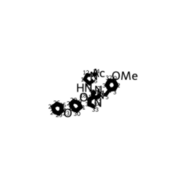 COc1ccc(Cn2nc(N[C@@H]3CCN(C(C)=O)C3)c3c(Oc4ccc(Oc5ccccc5)cc4)ccnc32)cc1